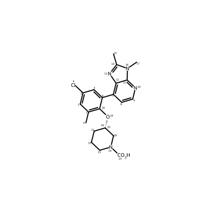 Cc1cc(Cl)cc(-c2ccnc3c2nc(C)n3C)c1O[C@H]1CCCN(C(=O)O)C1